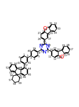 c1cc(-c2ccc(-c3nc(-c4ccc5oc6ccccc6c5c4)nc(-c4ccc5oc6ccccc6c5c4)n3)cc2)cc(-c2cccc3c2-c2ccccc2C32CCCCC2)c1